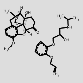 C=CCOc1ccccc1OCC(O)CNC(C)C.COc1ccc2c3c1O[C@H]1C(=O)CC[C@@]4(O)[C@@H](C2)N(C)CC[C@]314